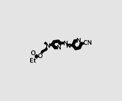 CCC(=O)OCCN(C)c1ccc(/N=N/c2ccc(C#N)nc2)nc1